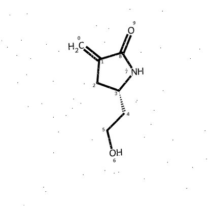 C=C1C[C@@H](CCO)NC1=O